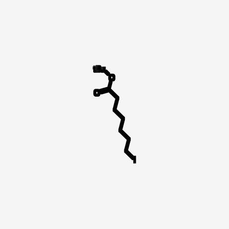 CC(C)(C)OC(=O)CCCCCCI